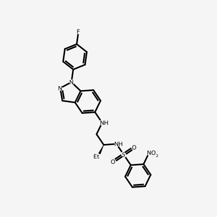 CC[C@@H](CNc1ccc2c(cnn2-c2ccc(F)cc2)c1)NS(=O)(=O)c1ccccc1[N+](=O)[O-]